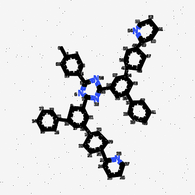 Cc1ccc(-c2nc(-c3cc(-c4ccccc4)cc(-c4ccc(-c5ccccn5)cc4)c3)nc(-c3cc(-c4ccccc4)cc(-c4ccc(-c5ccccn5)cc4)c3)n2)cc1